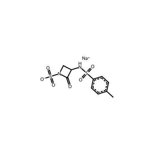 Cc1ccc(S(=O)(=O)NC2CN(S(=O)(=O)[O-])C2=O)cc1.[Na+]